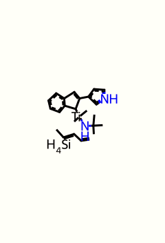 C=CC=CC.CC(C)(C)[NH][Ti]([CH3])([CH3])[CH]1C(c2cc[nH]c2)=Cc2ccccc21.[SiH4]